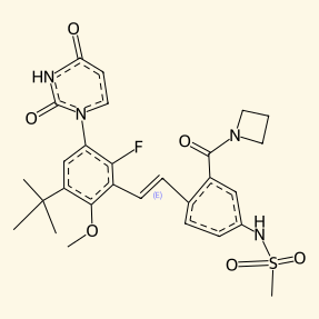 COc1c(C(C)(C)C)cc(-n2ccc(=O)[nH]c2=O)c(F)c1/C=C/c1ccc(NS(C)(=O)=O)cc1C(=O)N1CCC1